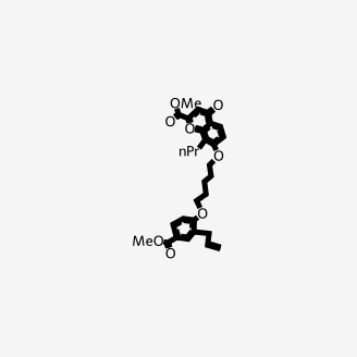 C=CCc1cc(C(=O)OC)ccc1OCCCCCOc1ccc2c(=O)cc(C(=O)OC)oc2c1CCC